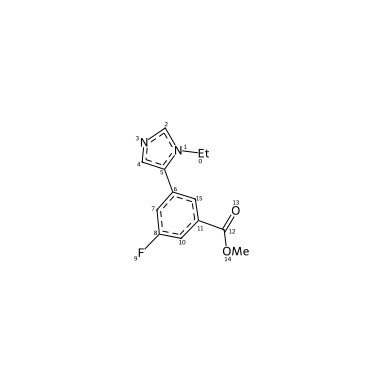 CCn1cncc1-c1cc(F)cc(C(=O)OC)c1